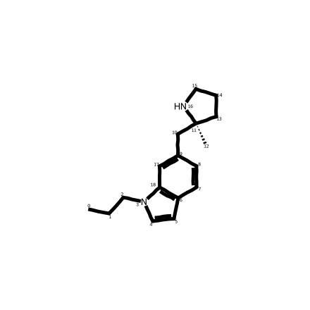 CCCn1ccc2ccc(C[C@]3(C)CCCN3)cc21